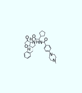 CN1CCN(c2ccc(C(=O)NC(C(=O)N3C[C@H](Cc4ccccc4)[C@H]4OCC(=O)[C@H]43)C3CCCC3)cc2)CC1